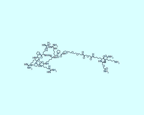 CC(=O)NC(CCCNC(=N)N)C(=O)N1CCCC1C(=O)N[C@H](CCCNC(=N)N)C(=O)N1CCC[C@@H]1C(=O)NC(CCCNC(=N)N)C(=O)NCCCCC(=O)NC(CCCNC(=N)N)C(=O)N1CCC[C@@H]1C(=O)NCCOCCOCCOCCNC(=O)COCC(=O)NCCCCC(NC(=O)COCC(N)=O)C(=O)NC(CCCCN)C(N)=O